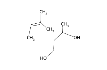 CC(O)CCO.CC=C(C)C